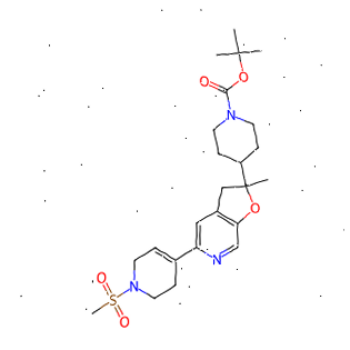 CC(C)(C)OC(=O)N1CCC(C2(C)Cc3cc(C4=CCN(S(C)(=O)=O)CC4)ncc3O2)CC1